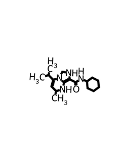 CC1C=C(C(C)C)N2CNC(C(=O)NC3CCCCC3)=C2N1